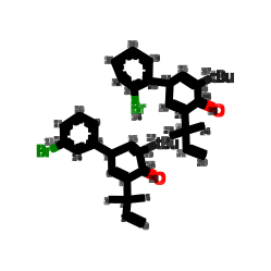 C=CC(C)(C)C1=CC(c2cccc(Br)c2)C=C(C(C)(C)C)C1=O.C=CC(C)(C)C1=CC(c2ccccc2Br)C=C(C(C)(C)C)C1=O